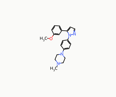 COc1cccc(-c2ccnn2-c2ccc(N3CCN(C)CC3)cc2)c1